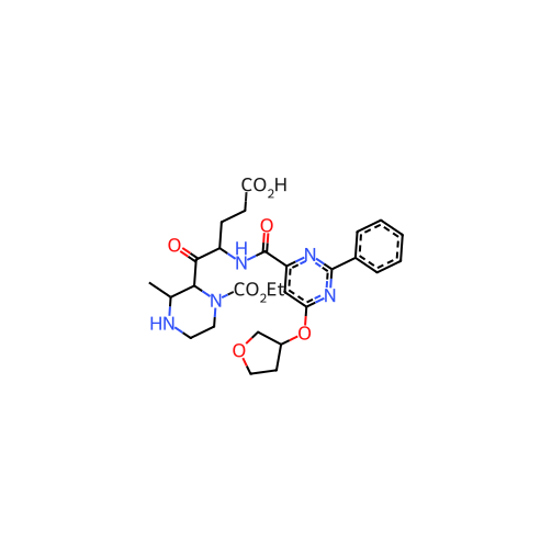 CCOC(=O)N1CCNC(C)C1C(=O)C(CCC(=O)O)NC(=O)c1cc(OC2CCOC2)nc(-c2ccccc2)n1